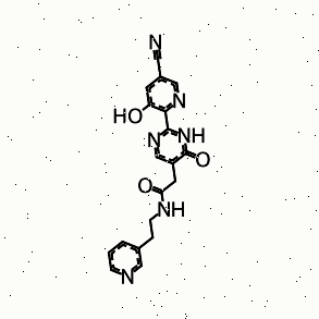 N#Cc1cnc(-c2ncc(CC(=O)NCCc3cccnc3)c(=O)[nH]2)c(O)c1